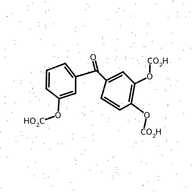 O=C(O)Oc1cccc(C(=O)c2ccc(OC(=O)O)c(OC(=O)O)c2)c1